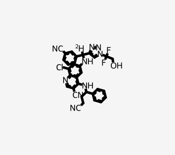 [2H]C(Nc1cc(Cl)c2ncc(C#N)c(NC(CCC#N)c3ccccc3)c2c1)(c1cccc(C#N)c1)c1cn(C(F)(F)CO)nn1